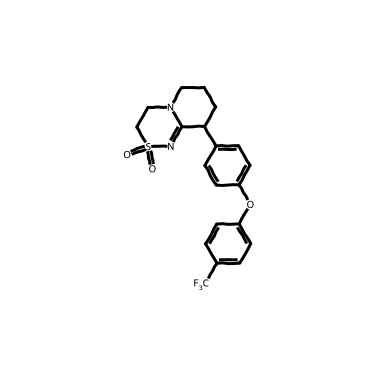 O=S1(=O)CCN2CCCC(c3ccc(Oc4ccc(C(F)(F)F)cc4)cc3)C2=N1